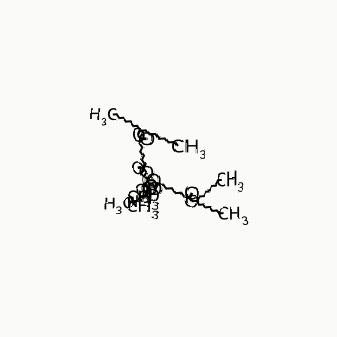 CCCCCCCCC(CCCCCCCC)OC(=O)CCCCCCC(=O)OC[C@H](COP(=O)([O-])OCC[N+](C)(C)C)OC(=O)CCCCCCC(=O)OC(CCCCCCCC)CCCCCCCC